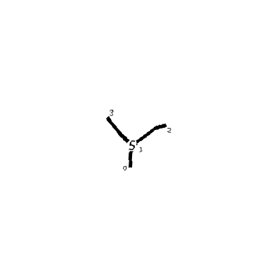 C[S](C)C